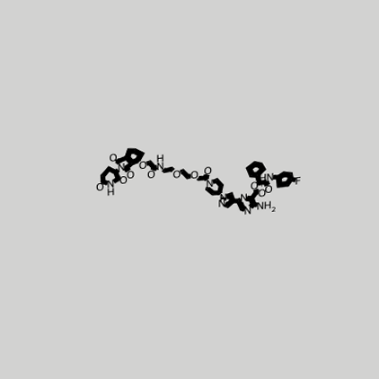 Nc1ncc(-c2cnn(C3CCN(C(=O)COCCOCCNC(=O)COc4cccc5c4C(=O)N(C4CCC(=O)NC4=O)C5=O)CC3)c2)nc1C(=O)O[C@@H](C(=O)Nc1ccc(F)cc1)c1ccccc1